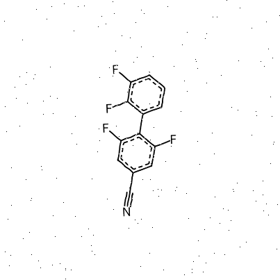 N#Cc1cc(F)c(-c2cc[c]c(F)c2F)c(F)c1